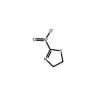 O=[N+]([O-])C1=NCCS1